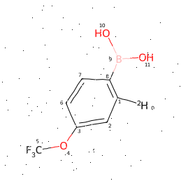 [2H]c1cc(OC(F)(F)F)ccc1B(O)O